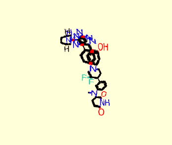 CN(c1cccc([C@@H]2CCN([C@H]3CC[C@H](c4ccnc(N5[C@@H]6CC[C@H]5CN(c5cc(-c7ccccc7O)nnc5N)C6)n4)CC3)CC2(F)F)c1)C1CCC(=O)NC1=O